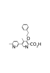 Cc1ccc(-c2cnc(C(=O)O)c(OCCc3ccccc3)c2C)cn1